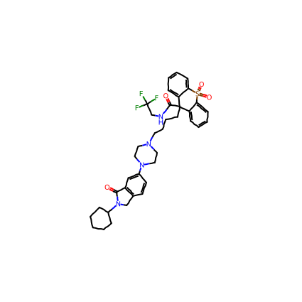 O=C1c2cc(N3CCN(CCCCC4(C(=O)NCC(F)(F)F)c5ccccc5S(=O)(=O)c5ccccc54)CC3)ccc2CN1C1CCCCC1